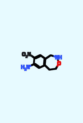 Nc1cc2c(cc1[N+](=O)[O-])CNOCC2